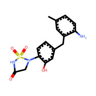 Cc1ccc(N)c(Cc2ccc(N3CC(=O)NS3(=O)=O)c(O)c2)c1